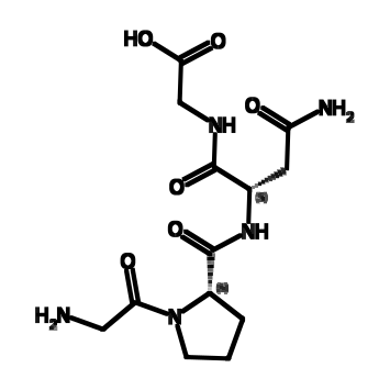 NCC(=O)N1CCC[C@H]1C(=O)N[C@@H](CC(N)=O)C(=O)NCC(=O)O